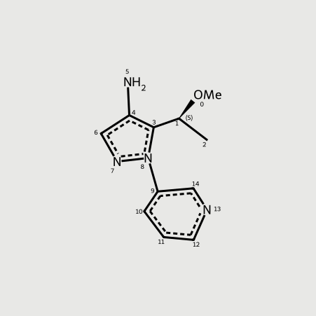 CO[C@@H](C)c1c(N)cnn1-c1cccnc1